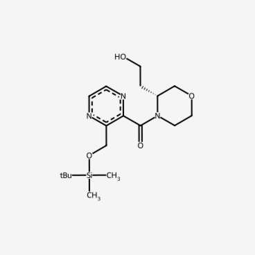 CC(C)(C)[Si](C)(C)OCc1nccnc1C(=O)N1CCOC[C@H]1CCO